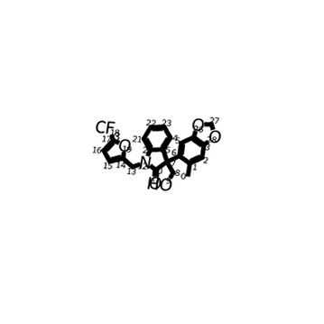 Cc1cc2c(cc1C1(CO)C(=O)N(Cc3ccc(C(F)(F)F)o3)c3ccccc31)OCO2